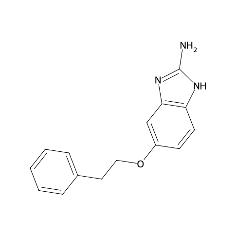 Nc1nc2cc(OCCc3ccccc3)ccc2[nH]1